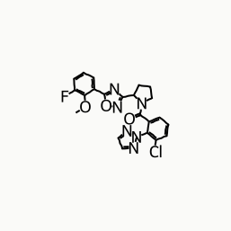 COc1c(F)cccc1-c1nc(C2CCCN2C(=O)c2cccc(Cl)c2-n2nccn2)no1